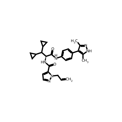 C=CCn1nccc1C(=O)N[C@H](C(=O)Nc1ccc(-c2c(C)n[nH]c2C)cc1)C(C1CC1)C1CC1